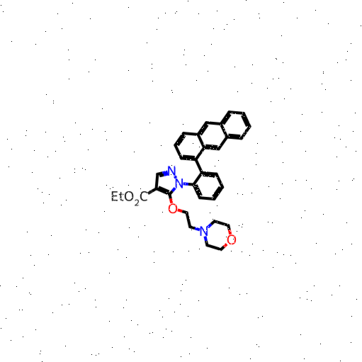 CCOC(=O)c1cnn(-c2ccccc2-c2cccc3cc4ccccc4cc23)c1OCCN1CCOCC1